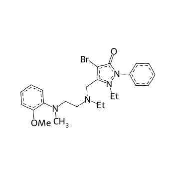 CCN(CCN(C)c1ccccc1OC)Cc1c(Br)c(=O)n(-c2ccccc2)n1CC